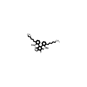 CCCCCCc1cccc(-c2c(F)c(F)c3nsnc3c2-c2cccc(CCCCCC)c2SBr)c1SBr